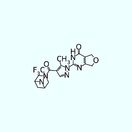 Cc1c(C(=O)N2CC3CC(C2)N3CC(F)(F)F)cnn1-c1nc2c(c(=O)[nH]1)COC2